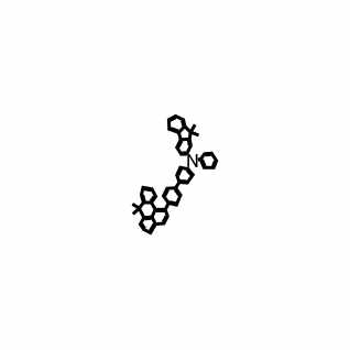 CC1(C)c2ccccc2-c2ccc(N(c3ccccc3)c3ccc(-c4ccc(-c5ccc6cccc7c6c5-c5ccccc5C7(C)C)cc4)cc3)cc21